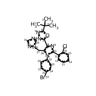 CC(C)(C)c1nnc(-c2nc(-c3ccccc3Cl)n(-c3ccc(Br)cc3)c2Cn2cncn2)o1